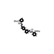 COc1ccccc1N/N=C/c1ccc(-c2cccc(/C=N/Nc3ccccc3OC)c2)cc1